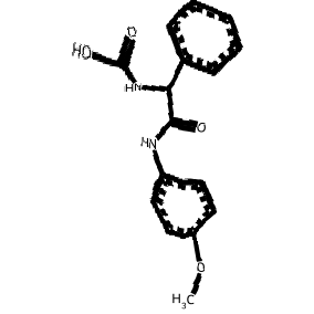 COc1ccc(NC(=O)C(NC(=O)O)c2ccccc2)cc1